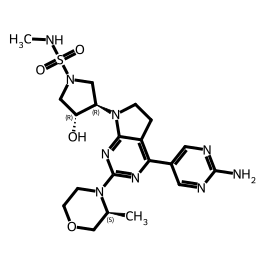 CNS(=O)(=O)N1C[C@@H](O)[C@H](N2CCc3c(-c4cnc(N)nc4)nc(N4CCOC[C@@H]4C)nc32)C1